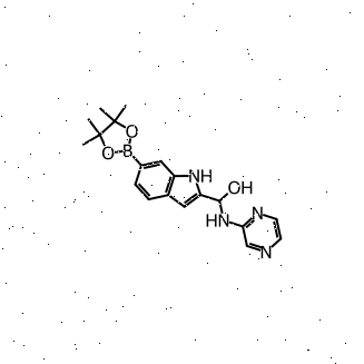 CC1(C)OB(c2ccc3cc(C(O)Nc4cnccn4)[nH]c3c2)OC1(C)C